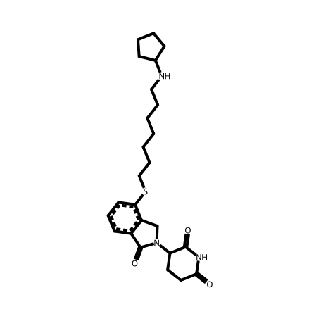 O=C1CCC(N2Cc3c(SCCCCCCCNC4CCCC4)cccc3C2=O)C(=O)N1